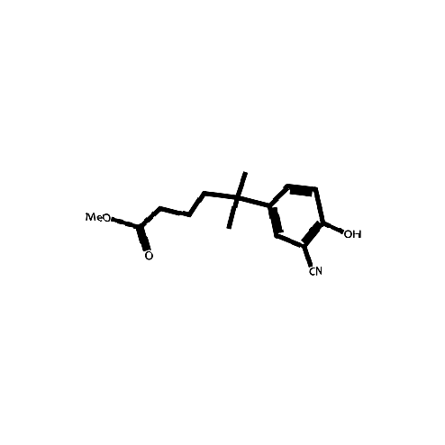 COC(=O)CCCC(C)(C)c1ccc(O)c(C#N)c1